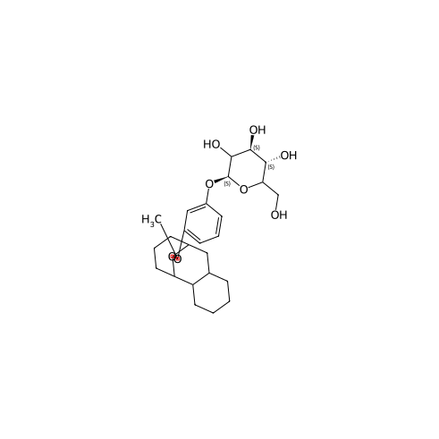 CC1(c2cccc(O[C@@H]3OC(CO)[C@@H](O)[C@H](O)C3O)c2)OOC12C1CCCC2C2CCCCC2C1